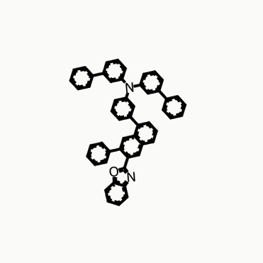 c1ccc(-c2cccc(N(c3cccc(-c4ccccc4)c3)c3cccc(-c4cccc5cc(-c6nc7ccccc7o6)c(-c6ccccc6)cc45)c3)c2)cc1